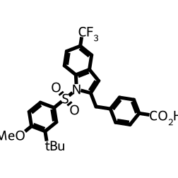 COc1ccc(S(=O)(=O)n2c(Cc3ccc(C(=O)O)cc3)cc3cc(C(F)(F)F)ccc32)cc1C(C)(C)C